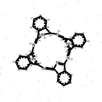 c1ccc2c(c1)C1=NC/2=N\c2[nH]c(c3ccccc23)/N=C2\NC(/N=c3\[nH]/c(c4ccccc34)=N\1)c1ccccc12